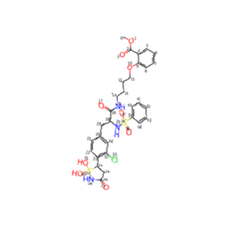 COC(=O)c1ccccc1OCCCCNC(=O)C(Cc1ccc(C2CC(=O)NS2(O)O)c(Cl)c1)NS(=O)(=O)c1ccccc1